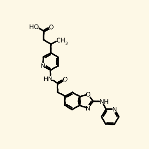 CC(CC(=O)O)c1ccc(NC(=O)Cc2ccc3nc(Nc4ccccn4)oc3c2)nc1